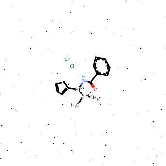 C[SiH](C)[Hf+2]([NH]C(=O)c1ccccc1)[C]1=CC=CC1.[Cl-].[Cl-]